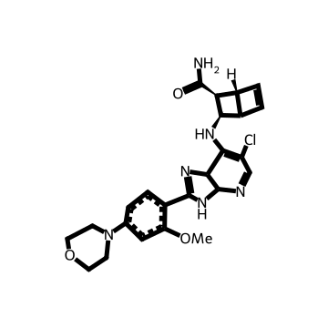 COc1cc(N2CCOCC2)ccc1C1=NC2C(N[C@@H]3C4C=C[C@H]4[C@@H]3C(N)=O)=C(Cl)C=NC2N1